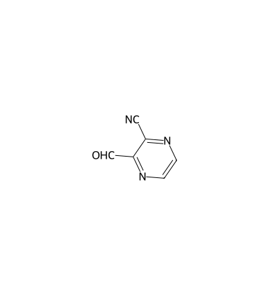 N#Cc1nccnc1C=O